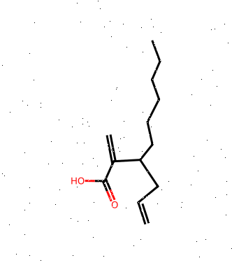 C=CCC(CCCCCC)C(=C)C(=O)O